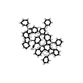 N#Cc1c(-n2c3ccccc3c3ccc4c(c5ccccc5n4-c4ccccc4)c32)cc(-c2ccc(-c3ccccc3)cc2)cc1-n1c2ccccc2c2c3c(c4ccccc4n3-c3ccccc3)c3c(c4ccccc4n3-c3ccccc3)c21